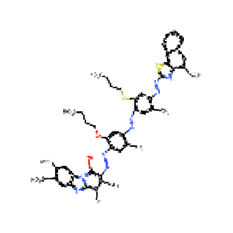 CC(=O)Nc1cc2c(cc1S(=O)(=O)O)nc1c(C#N)c(C)c(N=Nc3cc(C)c(N=Nc4cc(C)c(N=Nc5nc6c(S(=O)(=O)O)cc7ccccc7c6s5)cc4SCCCS(=O)(=O)O)cc3OCCCS(=O)(=O)O)c(O)n12